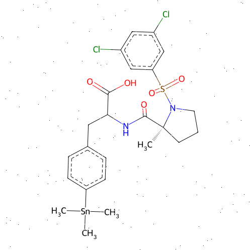 C[C@@]1(C(=O)NC(Cc2cc[c]([Sn]([CH3])([CH3])[CH3])cc2)C(=O)O)CCCN1S(=O)(=O)c1cc(Cl)cc(Cl)c1